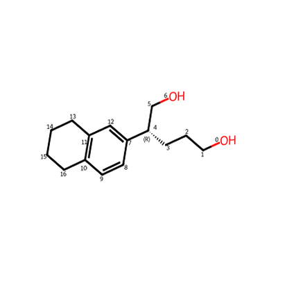 OCCC[C@@H](CO)c1ccc2c(c1)CCCC2